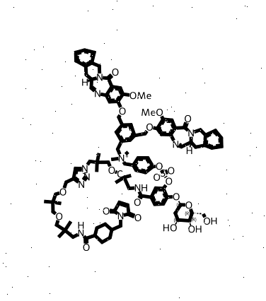 COc1cc2c(cc1OCc1cc(COc3cc4c(cc3OC)C(=O)N3Cc5ccccc5C[C@H]3C=N4)cc(C[N+](C)(C)Cc3ccc(OS(=O)(=O)Oc4cc(C(=O)NCC(C)(C)COCC(C)(C)Cn5cc(COCC(C)(C)COCC(C)(C)CNC(=O)C6CCC(CN7C(=O)C=CC7=O)CC6)nn5)ccc4O[C@H]4C[C@@H](O)[C@@H](O)[C@@H](CO)O4)cc3)c1)N=C[C@@H]1Cc3ccccc3CN1C2=O